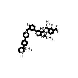 Cc1nc(N[C@H](C)c2cccc(C(F)F)c2F)c2cc(-c3ccc(F)c(CN4CCC(c5ccc([C@@]6(C)CCCNC6)cc5)CC4)c3)ncc2n1